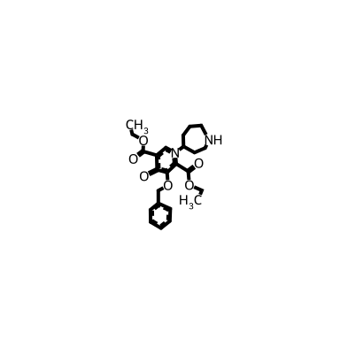 CCOC(=O)c1cn(C2CCCNCC2)c(C(=O)OCC)c(OCc2ccccc2)c1=O